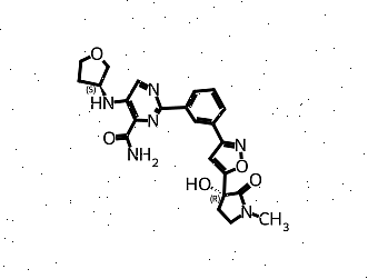 CN1CC[C@@](O)(c2cc(-c3cccc(-c4ncc(N[C@H]5CCOC5)c(C(N)=O)n4)c3)no2)C1=O